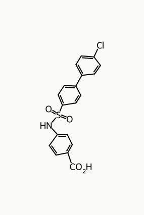 O=C(O)c1ccc(NS(=O)(=O)c2ccc(-c3ccc(Cl)cc3)cc2)cc1